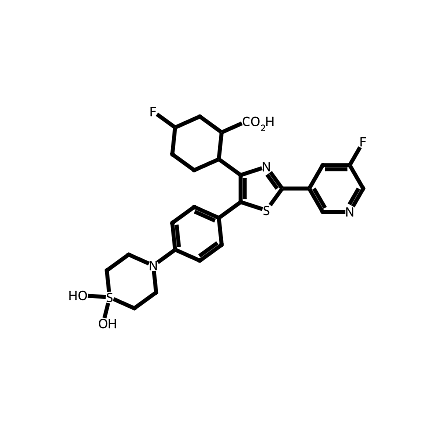 O=C(O)C1CC(F)CCC1c1nc(-c2cncc(F)c2)sc1-c1ccc(N2CCS(O)(O)CC2)cc1